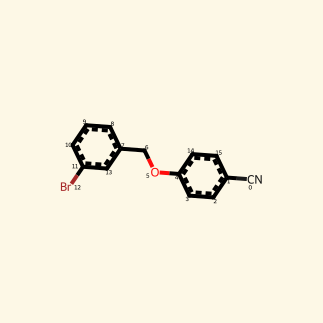 N#Cc1ccc(OCc2cccc(Br)c2)cc1